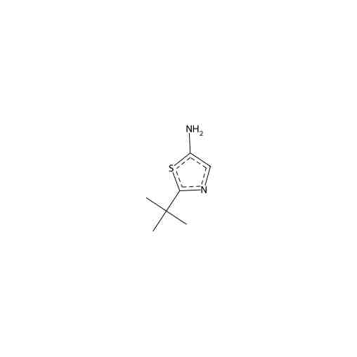 CC(C)(C)c1ncc(N)s1